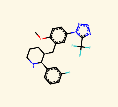 COc1ccc(-n2nnnc2C(F)(F)F)cc1[CH][C@@H]1CCCN[C@@H]1c1cccc(F)c1